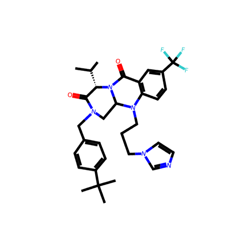 CC(C)[C@H]1C(=O)N(Cc2ccc(C(C)(C)C)cc2)CC2N(CCCn3ccnc3)c3ccc(C(F)(F)F)cc3C(=O)N21